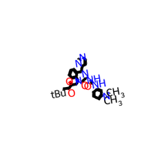 CN(C)c1cccc(NC(=O)NC2N=C(c3ccncn3)c3ccccc3N(CC(=O)C(=O)CC(C)(C)C)C2=O)c1